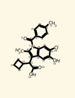 Cc1ccc(C(=O)n2c(C)c(C(C(=O)O)C3CCC3)c3cc(O)c(Cl)cc32)cc1